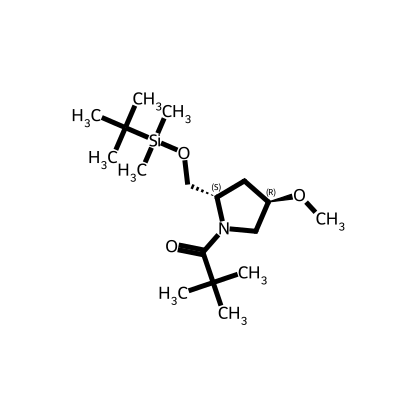 CO[C@@H]1C[C@@H](CO[Si](C)(C)C(C)(C)C)N(C(=O)C(C)(C)C)C1